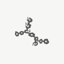 c1ccc(-c2ccc(-c3cc(-c4ccc(-c5ccc6c(c5)c5cnccc5n6-c5ccc(-c6ccccc6)cc5)cc4)nc(-c4ccc(-c5cccnc5)nc4)c3)cc2)cc1